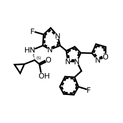 O=C(O)[C@@H](Nc1nc(-c2cc(-c3ccon3)n(Cc3ccccc3F)n2)ncc1F)C1CC1